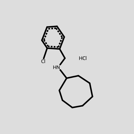 Cl.Clc1ccccc1CNC1CCCCCCC1